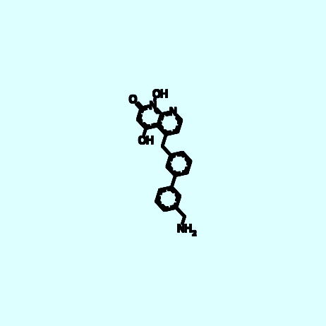 NCc1cccc(-c2cccc(Cc3ccnc4c3c(O)cc(=O)n4O)c2)c1